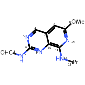 COc1cc2cnc(NC=O)nc2c(NC(C)C)n1